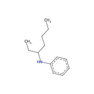 CCCCC(CC)Nc1ccccc1